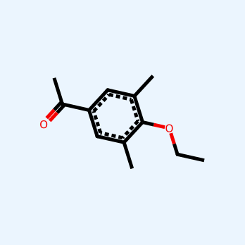 CCOc1c(C)cc(C(C)=O)cc1C